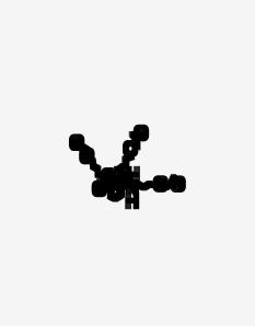 O=C(NCCCCOCC1CO1)c1cccc(C(=O)NCCCCOCC2CO2)c1C(=O)NCCCCOCC1CO1